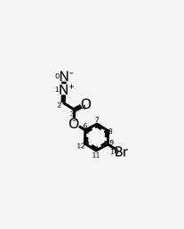 [N-]=[N+]=CC(=O)Oc1ccc(Br)cc1